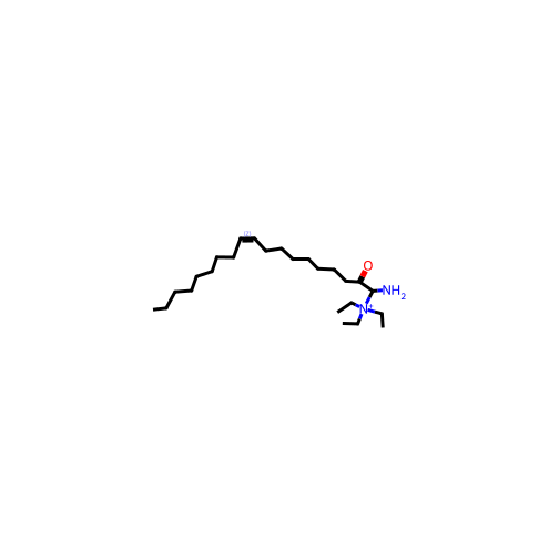 CCCCCCCC/C=C\CCCCCCCC(=O)C(N)[N+](CC)(CC)CC